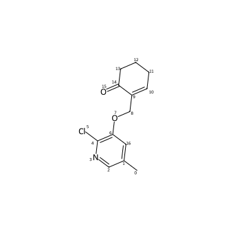 Cc1cnc(Cl)c(OCC2=CCCCC2=O)c1